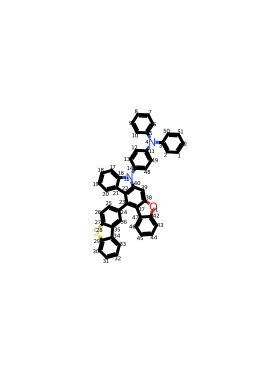 c1ccc(N(c2ccccc2)c2ccc(-n3c4ccccc4c4c(-c5ccc6sc7ccccc7c6c5)c5c(cc43)oc3ccccc35)cc2)cc1